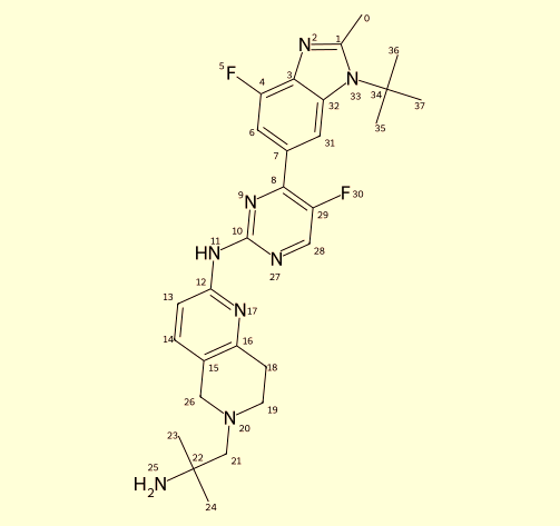 Cc1nc2c(F)cc(-c3nc(Nc4ccc5c(n4)CCN(CC(C)(C)N)C5)ncc3F)cc2n1C(C)(C)C